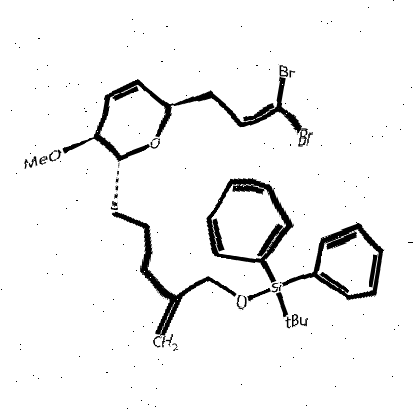 C=C(CCC[C@H]1O[C@H](CC=C(Br)Br)C=C[C@@H]1OC)CO[Si](c1ccccc1)(c1ccccc1)C(C)(C)C